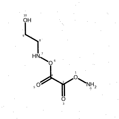 NOC(=O)C(=O)ONCCO